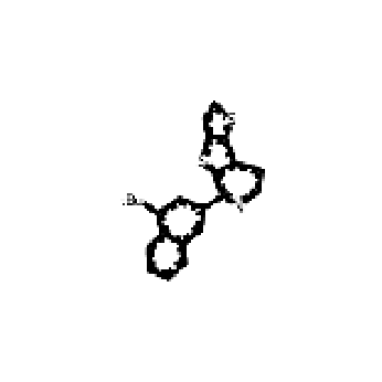 CC(C)(C)c1cc(-c2nccc3c2sc2ccsc23)cc2ccccc12